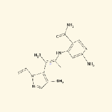 B/C(=C(/C)Nc1cc(N)ncc1C(N)=O)c1c(B)cnn1C=C